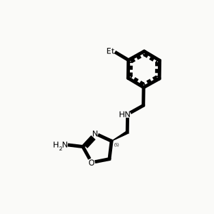 CCc1cccc(CNC[C@H]2COC(N)=N2)c1